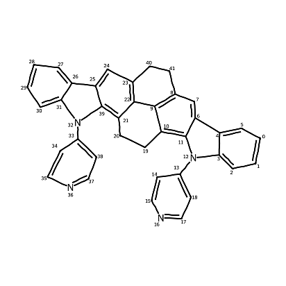 c1ccc2c(c1)c1cc3c4c(c1n2-c1ccncc1)CCc1c-4c(cc2c4ccccc4n(-c4ccncc4)c12)CC3